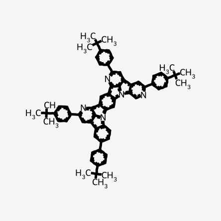 CC(C)(C)c1ccc(-c2ccc3c(c2)c2cc(-c4ccc(C(C)(C)C)cc4)nc4c5cc6c7nc(-c8ccc(C(C)(C)C)cc8)cc8c9cc(-c%10ccc(C(C)(C)C)cc%10)ncc9n(c6cc5n3c24)c87)cc1